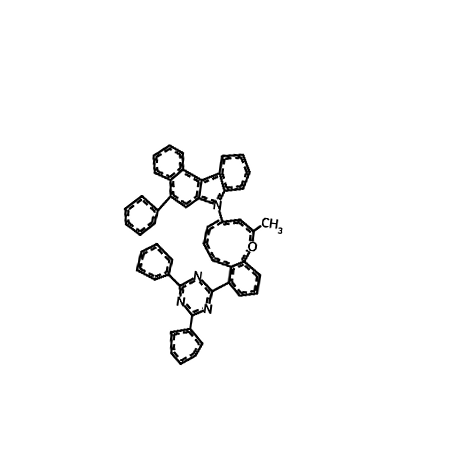 Cc1cc(-n2c3ccccc3c3c4ccccc4c(-c4ccccc4)cc32)cccc2c(-c3nc(-c4ccccc4)nc(-c4ccccc4)n3)cccc2o1